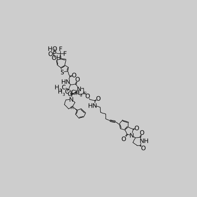 CC(C)(C)C(NC(=O)c1cc2cc(C(F)(F)P(=O)(O)O)ccc2s1)C(=O)N1C[C@@H](OCC(=O)NCCCCC#Cc2ccc3c(c2)C(=O)N(C2CCC(=O)NC2=O)C3=O)C[C@H]1C(=O)N1CCC[C@H](c2ccccc2)C1